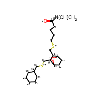 CN(O)C(=O)CCCCSCC1C2CCC(O2)C1CSCC1CCCCC1